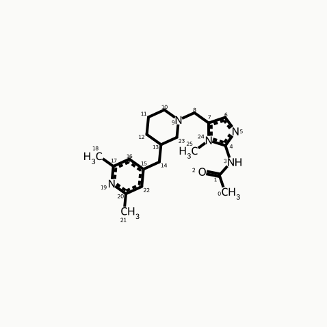 CC(=O)Nc1ncc(CN2CCCC(Cc3cc(C)nc(C)c3)C2)n1C